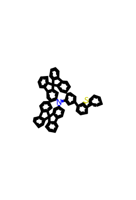 c1cc(-c2cccc3c2sc2ccccc23)cc(N(c2ccc3c(c2)C2(c4ccccc4-c4ccccc42)c2ccccc2-3)c2ccc3c(c2)C2(c4ccccc4-c4ccccc42)c2ccccc2-3)c1